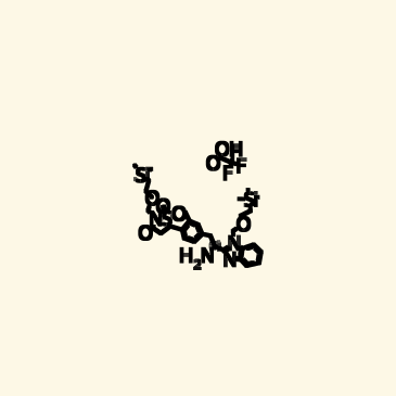 Cc1cc(C[C@H](N)c2nc3ccccc3n2COCC[Si](C)(C)C)ccc1C1CC(=O)N(COCC[Si](C)(C)C)S1(=O)=O.O=C(O)C(F)(F)F